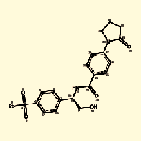 CCS(=O)(=O)c1ccc([C@H](CO)NC(=O)c2ccc(N3CCCC3=O)cc2)cc1